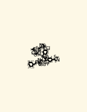 CC(C)(C)C[C@]1(c2ccc(-c3cncs3)cc2F)NC(=NC(=O)OCc2ccccc2)N([C@H](COC(=O)NC2(C(F)(F)F)CC2)c2ccc(Cl)c(-n3ncnc3C(F)F)c2)C1=O